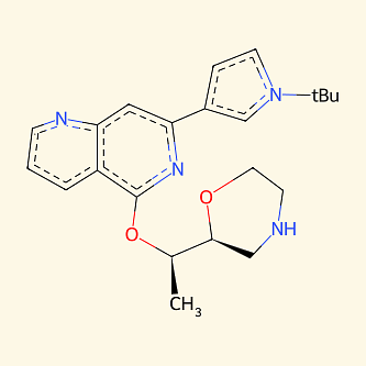 C[C@@H](Oc1nc(-c2ccn(C(C)(C)C)c2)cc2ncccc12)[C@@H]1CNCCO1